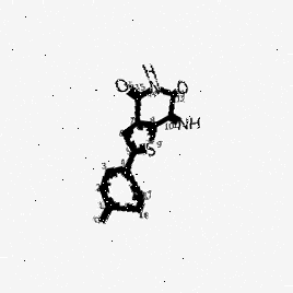 Cc1ccc(-c2cc3c(s2)C(=N)C(=O)NC3=O)cc1